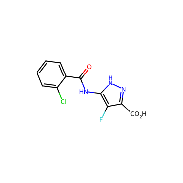 O=C(Nc1[nH]nc(C(=O)O)c1F)c1ccccc1Cl